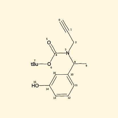 C#CCN(C(=O)OC(C)(C)C)C(C)c1cccc(O)c1